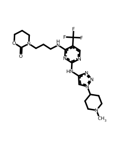 CN1CCC(n2cc(Nc3ncc(C(F)(F)F)c(NCCCN4CCCOC4=O)n3)nn2)CC1